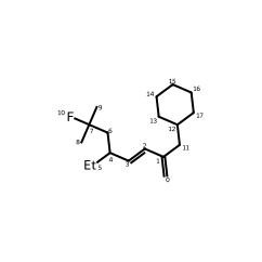 C=C(/C=C/C(CC)CC(C)(C)F)CC1CCCCC1